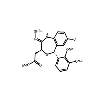 COC(=O)C[C@@H]1S[C@@H](c2cccc(OC)c2OC)c2cc(Cl)ccc2N/C1=N\NC(C)=O